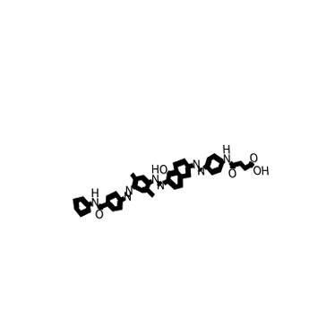 Cc1cc(N=Nc2ccc3cc(N=Nc4ccc(NC(=O)CCC(=O)O)cc4)ccc3c2O)c(C)cc1N=Nc1ccc(C(=O)Nc2ccccc2)cc1